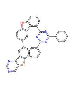 c1ccc(-c2nc(-c3ccccc3)nc(-c3cccc4oc5ccc(-c6ccc7sc8cncnc8c7c6)cc5c34)n2)cc1